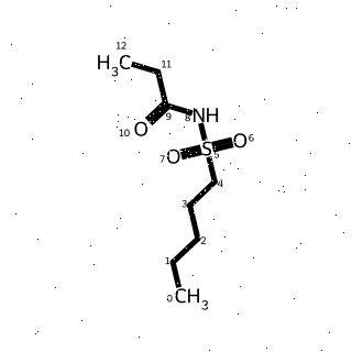 CCCCCS(=O)(=O)NC(=O)CC